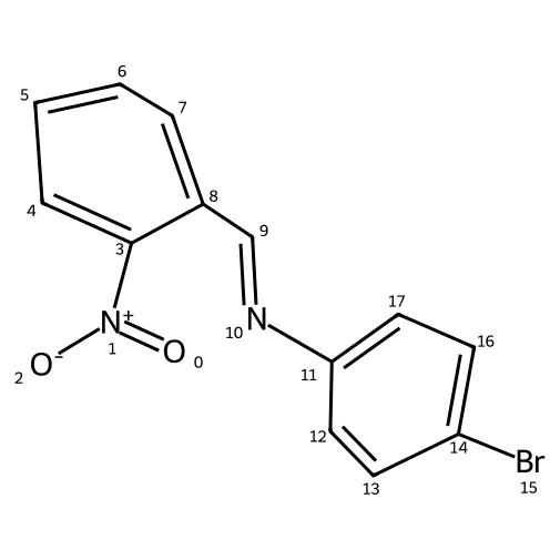 O=[N+]([O-])c1ccccc1C=Nc1ccc(Br)cc1